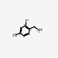 [NH]Cc1ccc(Cl)cc1F